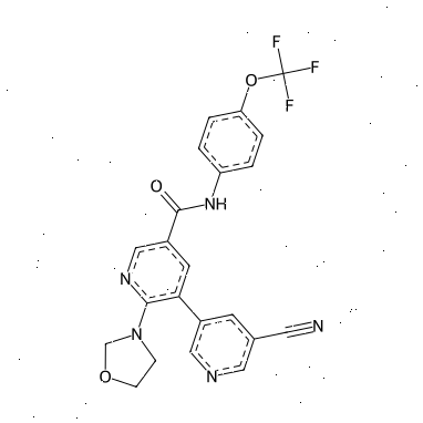 N#Cc1cncc(-c2cc(C(=O)Nc3ccc(OC(F)(F)F)cc3)cnc2N2CCOC2)c1